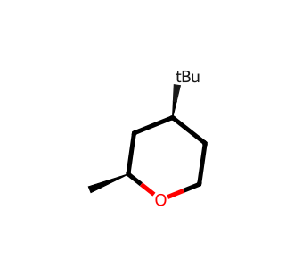 C[C@H]1C[C@@H](C(C)(C)C)CCO1